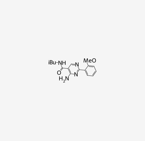 CCC(C)NC(=O)c1cnc(-c2ccccc2OC)nc1N